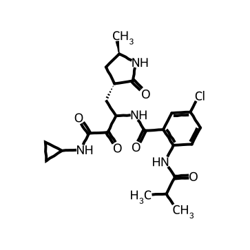 CC(C)C(=O)Nc1ccc(Cl)cc1C(=O)NC(C[C@@H]1C[C@@H](C)NC1=O)C(=O)C(=O)NC1CC1